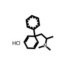 CC(CC1(c2ccccc2)C=CCC=C1)N(C)C.Cl